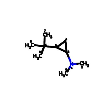 CN(C)C1CC1C(C)(C)C